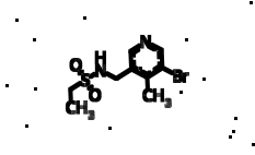 CCS(=O)(=O)NCc1cncc(Br)c1C